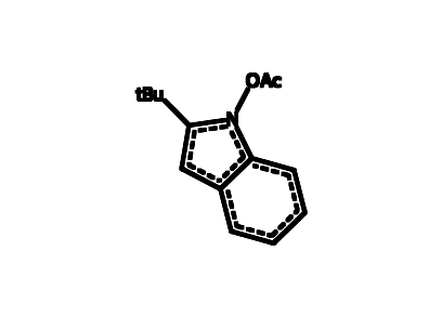 CC(=O)On1c(C(C)(C)C)cc2ccccc21